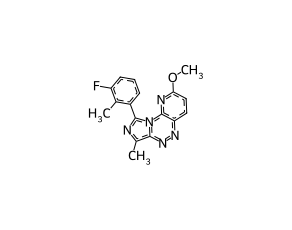 COc1ccc2nnc3c(C)nc(-c4cccc(F)c4C)n3c2n1